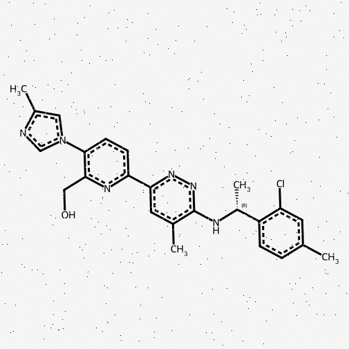 Cc1ccc([C@@H](C)Nc2nnc(-c3ccc(-n4cnc(C)c4)c(CO)n3)cc2C)c(Cl)c1